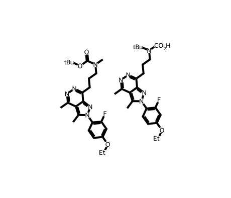 CCOc1ccc(-n2nc3c(CCCN(C(=O)O)C(C)(C)C)nnc(C)c3c2C)c(F)c1.CCOc1ccc(-n2nc3c(CCCN(C)C(=O)OC(C)(C)C)nnc(C)c3c2C)c(F)c1